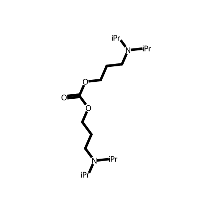 CC(C)N(CCCOC(=O)OCCCN(C(C)C)C(C)C)C(C)C